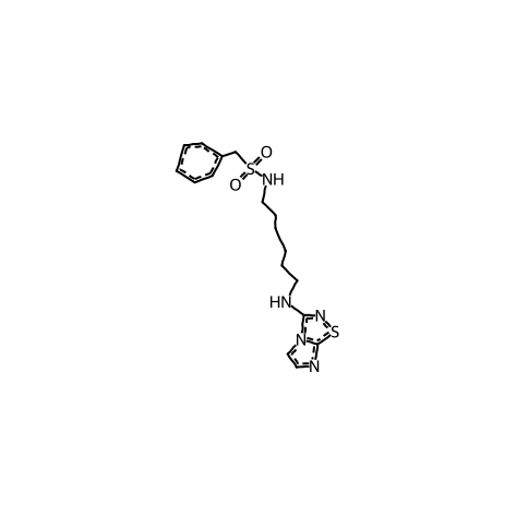 O=S(=O)(Cc1ccccc1)NCCCCCCNc1nsc2nccn12